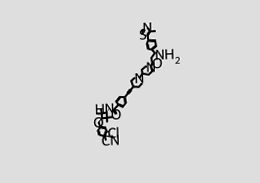 Cc1ncsc1-c1ccc([C@@H](N)CC(=O)N2CCC(N3CCC(C#Cc4ccc(C(=O)N[C@H]5C(C)(C)[C@H](Oc6ccc(C#N)c(Cl)c6)C5(C)C)cc4)CC3)CC2)cc1